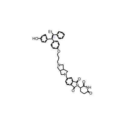 CC/C(=C(\c1ccc(O)cc1)c1ccc(OCCCN2CC3CN(c4ccc5c(c4)C(=O)N(C4CCC(=O)NC4=O)C5=O)CC3C2)cc1)c1ccccc1